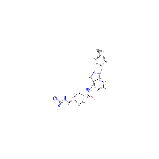 COc1ccc(Cn2ncc3c(NC(=O)[C@H]4CC[C@H](CNC(=N)N)CC4)ccnc32)cc1